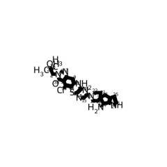 CC(C)(O)Cn1cnc2ccc(Sc3ncc(N4CCC5(CC4)Cc4cc[nH]c4[C@H]5N)nc3N)c(Cl)c2c1=O